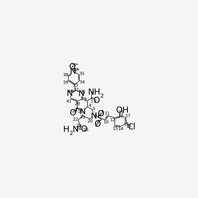 NC(=O)CC1CN(S(=O)(=O)C=Cc2ccc(Cl)cc2O)CC(CC(N)=O)N1C(=O)c1cnc(-c2cc[n+]([O-])cc2)nc1